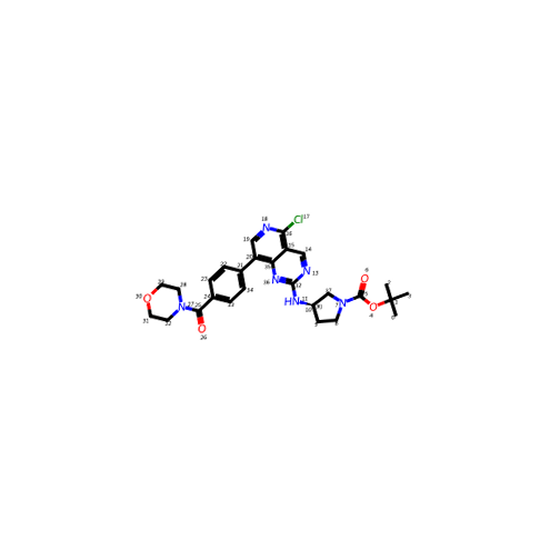 CC(C)(C)OC(=O)N1CC[C@@H](Nc2ncc3c(Cl)ncc(-c4ccc(C(=O)N5CCOCC5)cc4)c3n2)C1